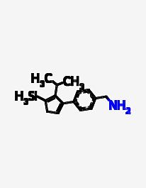 CC(C)C1=C([SiH3])CC=C1c1ccc(CN)cc1